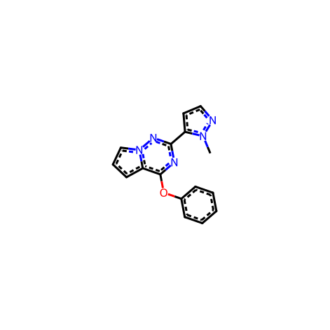 Cn1nccc1-c1nc(Oc2ccccc2)c2cccn2n1